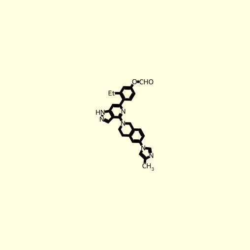 CCc1cc(OC=O)ccc1-c1cc2[nH]ncc2c(N2CCc3cc(-n4cnc(C)c4)ccc3C2)n1